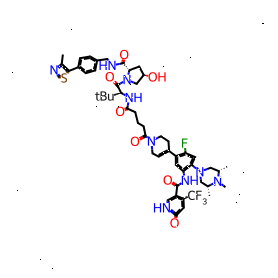 Cc1ncsc1-c1ccc(CNC(=O)[C@@H]2C[C@@H](O)CN2C(=O)[C@@H](NC(=O)CCCC(=O)N2CC=C(c3cc(NC(=O)c4c[nH]c(=O)cc4C(F)(F)F)c(N4C[C@@H](C)N(C)[C@@H](C)C4)cc3F)CC2)C(C)(C)C)cc1